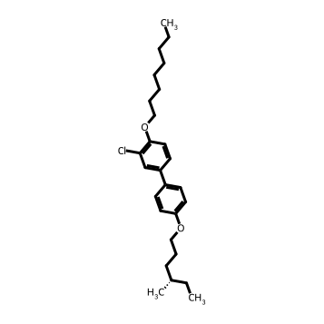 CCCCCCCCOc1ccc(-c2ccc(OCCC[C@@H](C)CC)cc2)cc1Cl